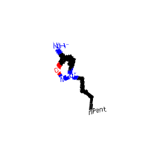 CCCCCCCC[n+]1cc([NH-])on1